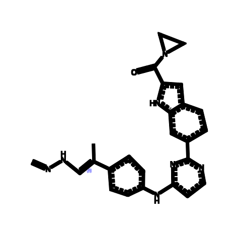 C=NN/C=C(\C)c1ccc(Nc2ccnc(-c3ccc4cc(C(=O)N5CC5)[nH]c4c3)n2)cc1